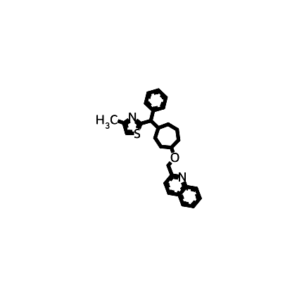 Cc1csc(C(c2ccccc2)C2CCCC(OCc3ccc4ccccc4n3)CC2)n1